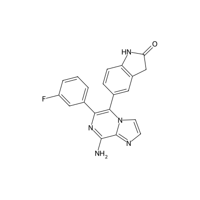 Nc1nc(-c2cccc(F)c2)c(-c2ccc3c(c2)CC(=O)N3)n2ccnc12